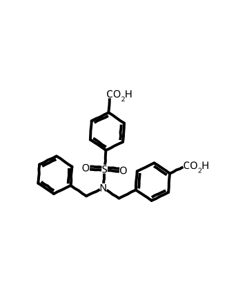 O=C(O)c1ccc(CN(Cc2ccccc2)S(=O)(=O)c2ccc(C(=O)O)cc2)cc1